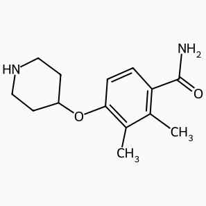 Cc1c(OC2CCNCC2)ccc(C(N)=O)c1C